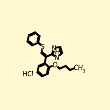 CCCCOc1ccccc1/C(=C/Sc1ccccc1)c1ncc[nH]1.Cl